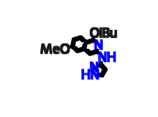 COc1ccc2c(OCC(C)C)nc(Nc3cc[nH]n3)cc2c1